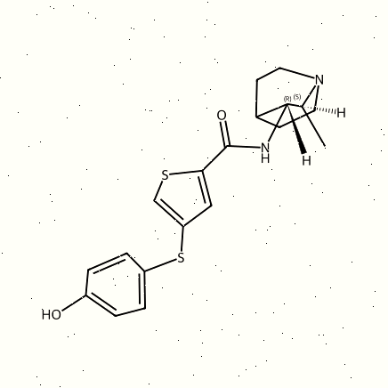 C[C@H]1[C@H](NC(=O)c2cc(Sc3ccc(O)cc3)cs2)C2CCN1CC2